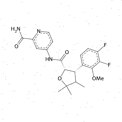 COc1c([C@@H]2C(C)C(C)(C)O[C@@H]2C(=O)Nc2ccnc(C(N)=O)c2)ccc(F)c1F